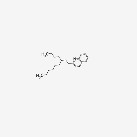 CCCCCCC(CCCC)CCc1ccc2ccccc2n1